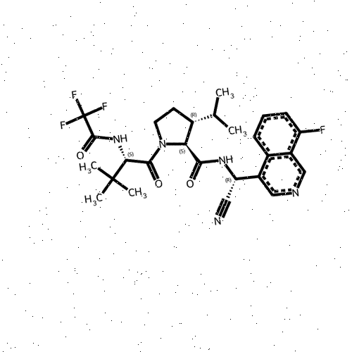 CC(C)[C@H]1CCN(C(=O)[C@@H](NC(=O)C(F)(F)F)C(C)(C)C)[C@@H]1C(=O)N[C@@H](C#N)c1cncc2c(F)cccc12